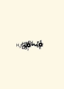 Cc1c(OCCCCOc2c(F)ccc(F)c2F)ccc(C(=O)CC(C)C)c1O